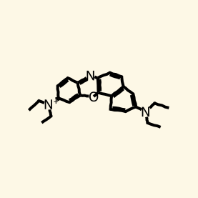 CCN(CC)c1ccc2c(ccc3nc4ccc(=[N+](CC)CC)cc-4oc32)c1